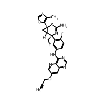 C#CCOc1cnc2c(Nc3ccc(F)c([C@@]4(CF)N=C(N)S[C@@]5(c6ocnc6C)C[C@@H]45)c3)ncnc2c1